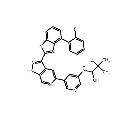 CC(C)(C)C(O)Nc1cncc(-c2cc3c(-c4nc5c(-c6ccccc6F)cccc5[nH]4)n[nH]c3cn2)c1